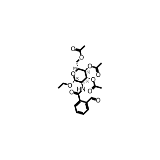 CCO[C@@H]1O[C@H](COC(C)=O)[C@@H](OC(C)=O)[C@H](OC(C)=O)[C@H]1NC(=O)c1ccccc1C=O